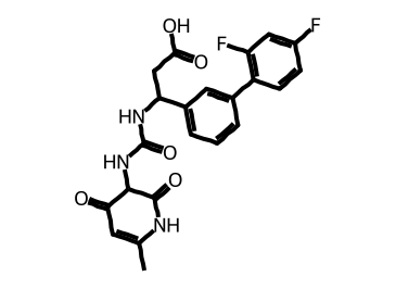 CC1=CC(=O)C(NC(=O)NC(CC(=O)O)c2cccc(-c3ccc(F)cc3F)c2)C(=O)N1